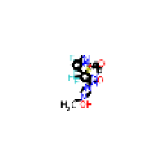 C=CC(O)N1CCN(c2nc(=O)n3c4c(c(-c5ccc(F)c6cnn(C)c56)c(C(F)(F)F)cc24)SCC2(COC2)C3)CC1